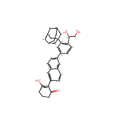 O=C1CCCC(O)=C1c1ccc2cc(-c3ccc(C(O)CO)c(C45CC6CC(CC(C6)C4)C5)c3)ccc2c1